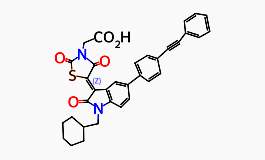 O=C(O)CN1C(=O)S/C(=C2\C(=O)N(CC3CCCCC3)c3ccc(-c4ccc(C#Cc5ccccc5)cc4)cc32)C1=O